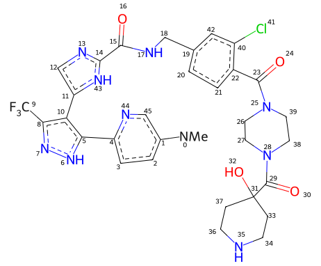 CNc1ccc(-c2[nH]nc(C(F)(F)F)c2-c2cnc(C(=O)NCc3ccc(C(=O)N4CCN(C(=O)C5(O)CCNCC5)CC4)c(Cl)c3)[nH]2)nc1